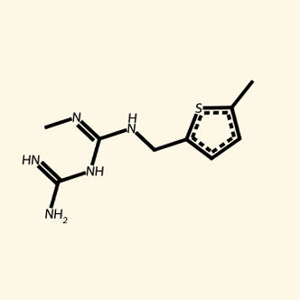 C/N=C(/NCc1ccc(C)s1)NC(=N)N